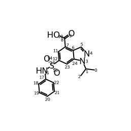 CC(C)n1ncc2c(C(=O)O)cc(S(=O)(=O)Nc3ccccc3)cc21